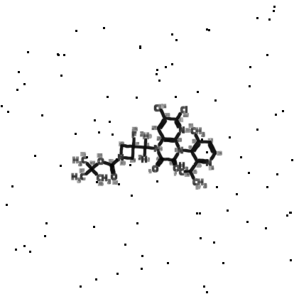 [2H]C([2H])(n1c(=O)c(=O)n(-c2c(C)ccnc2C(C)C)c2nc(Cl)c(Cl)cc21)C1(F)CN(C(=O)OC(C)(C)C)C1